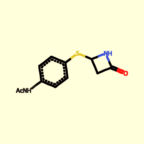 CC(=O)Nc1ccc(SC2CC(=O)N2)cc1